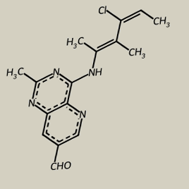 C/C=C(Cl)\C(C)=C(/C)Nc1nc(C)nc2cc(C=O)cnc12